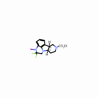 CCOC(=O)N1CC[C@H]2[C@@H](C1)c1cccc3c1N2CC(F)(F)N3I